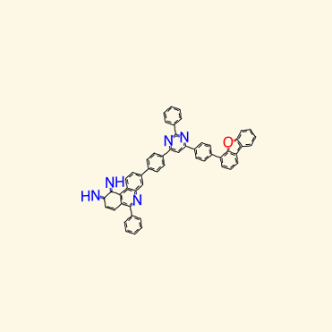 N=C1C=Cc2c(-c3ccccc3)nc3cc(-c4ccc(-c5cc(-c6ccc(-c7cccc8c7oc7ccccc78)cc6)nc(-c6ccccc6)n5)cc4)ccc3c2C1=N